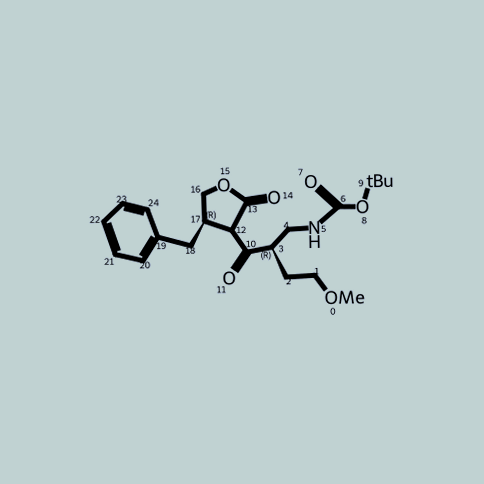 COCC[C@H](CNC(=O)OC(C)(C)C)C(=O)C1C(=O)OC[C@@H]1Cc1ccccc1